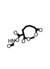 O=CNOC(=O)C1CCCCC(=O)OCOC1=O